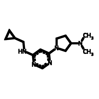 CN(C)C1CCN(c2cc(NCC3CC3)ncn2)C1